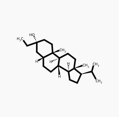 CC[C@@]1(O)CC[C@@]2(C)[C@H](CC[C@@H]3[C@@H]2CC[C@]2(C)[C@@H](C(C)C)CC[C@@H]32)C1